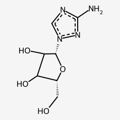 Nc1ncn([C@@H]2O[C@H](CO)C(O)C2O)n1